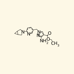 CCOC(=O)c1cn(Cc2ccc(N3CC4CC4C3)nc2)nc1N